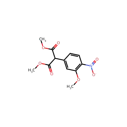 COC(=O)C(C(=O)OC)c1ccc([N+](=O)[O-])c(OC)c1